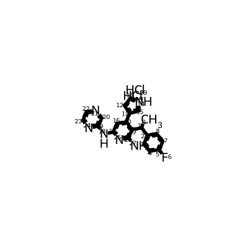 CC(c1ccc(F)cc1)c1c(-c2cc[nH]c2)cc(Nc2cnccn2)nc1N.Cl.Cl